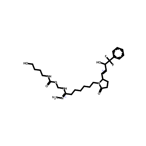 N/N=C(/CCCCCCN1C(=O)CCC1/C=C/C(O)C(F)(F)c1ccccc1)NCOC(=O)NCCCCO